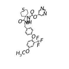 COc1ccc(Oc2ccc(CNC(=O)C3(NC(=O)Oc4cncnc4)CCSCC3)cc2)c(C(F)(F)F)c1